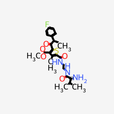 CCC(C(=O)c1sc(C(=O)NCCNC(=O)[C@@H](N)C(C)C)c(C)c1C(=O)OC)c1ccc(F)cc1